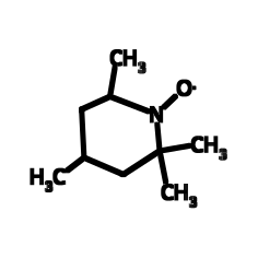 CC1CC(C)N([O])C(C)(C)C1